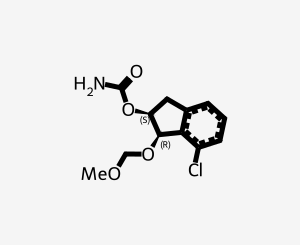 COCO[C@@H]1c2c(Cl)cccc2C[C@@H]1OC(N)=O